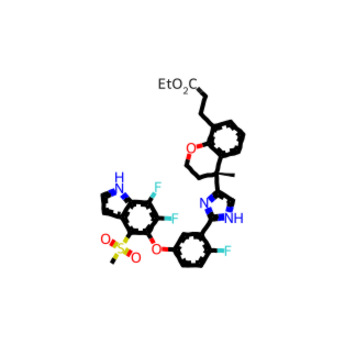 CCOC(=O)CCc1cccc2c1OCC[C@@]2(C)c1c[nH]c(-c2cc(Oc3c(F)c(F)c4[nH]ccc4c3S(C)(=O)=O)ccc2F)n1